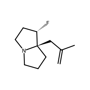 C=C(C)C[C@@]12CCCN1CC[C@@H]2F